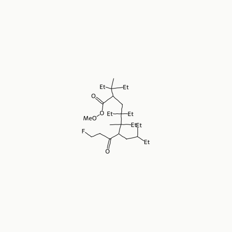 CCC(CC)CC(C(=O)CCF)C(C)(CC)C(CC)(CC)CC(C(=O)OOC)C(C)(CC)CC